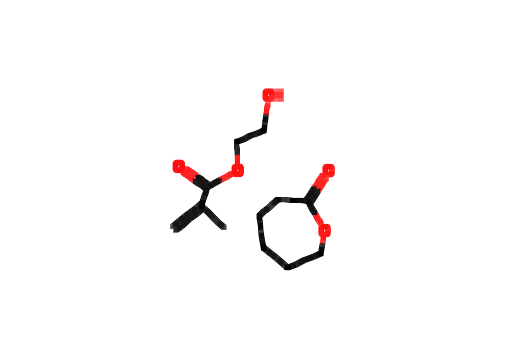 C=C(C)C(=O)OCCO.O=C1CCCCCO1